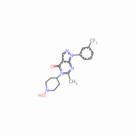 Cc1nc2c(cnn2-c2cccc(C(F)(F)F)c2)c(=O)n1C1CCN(O)CC1